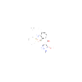 CCn1ncc(C(=O)c2ccc(OC)c(N=S3(=O)CCCCC3)c2Cl)c1O